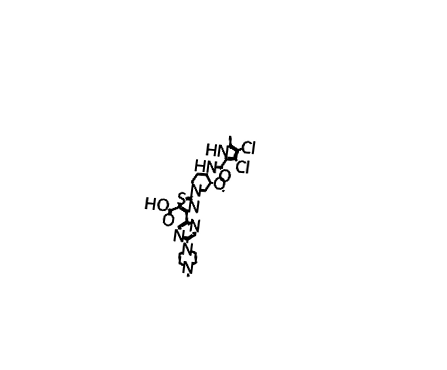 CO[C@@H]1CN(c2nc(-c3cnc(N4CCN(C)CC4)cn3)c(C(=O)O)s2)CC[C@@H]1NC(=O)c1[nH]c(C)c(Cl)c1Cl